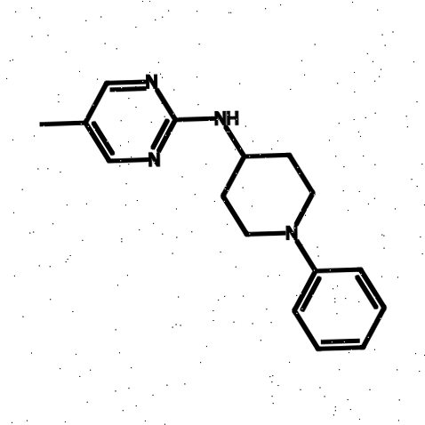 Cc1cnc(NC2CCN(c3ccccc3)CC2)nc1